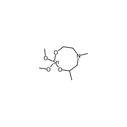 C[O][Sn]1([O]C)[O]CCN(C)CC(C)[O]1